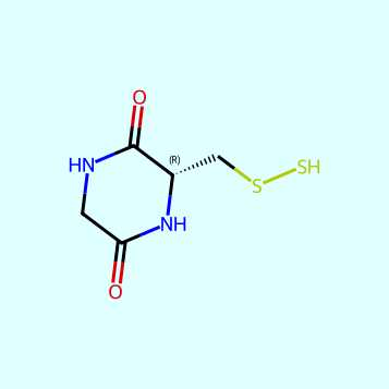 O=C1CNC(=O)[C@H](CSS)N1